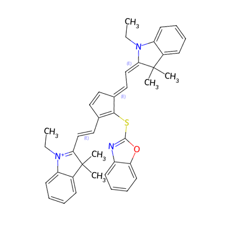 CCN1/C(=C/C=C2\C=CC(/C=C/C3=[N+](CC)c4ccccc4C3(C)C)=C2Sc2nc3ccccc3o2)C(C)(C)c2ccccc21